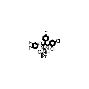 CC(C)C(=O)Nc1nc(Oc2ccc(F)c(F)c2)c(-c2ccc(Cl)cc2)c(-c2ccc(Cl)cc2Cl)n1